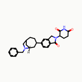 O=C1CCC(N2Cc3cc(C4CCC5C[C@H](C4)N(Cc4ccccc4)C5)ccc3C2=O)C(=O)N1